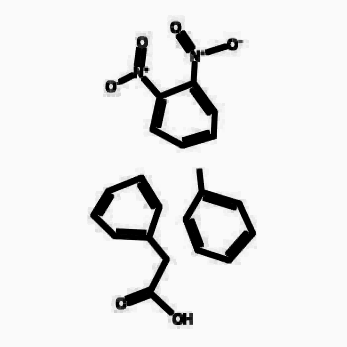 Cc1ccccc1.O=C(O)Cc1ccccc1.O=[N+]([O-])c1ccccc1[N+](=O)[O-]